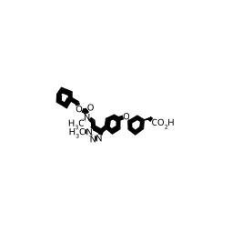 CN(Cc1c(-c2ccc(O[C@H]3CCC[C@H](CC(=O)O)C3)cc2)nnn1C)C(=O)OCc1ccccc1